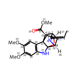 C/C=C1/CN2[C@H]3CC1[C@H](C(=O)OC)C14C[C@H]2OC31Nc1cc(OC)c(OC)cc14